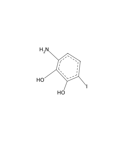 Nc1ccc(I)c(O)c1O